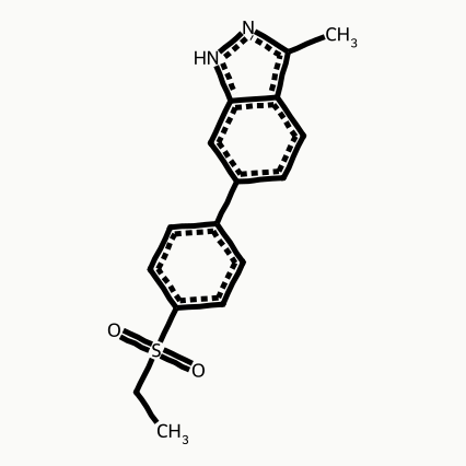 CCS(=O)(=O)c1ccc(-c2ccc3c(C)n[nH]c3c2)cc1